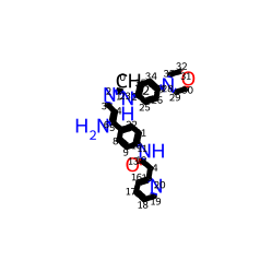 C=C(/N=C\C=C(/N)c1ccc(NC(=O)Cc2ccccn2)cc1)Nc1ccc(N2CCOCC2)cc1